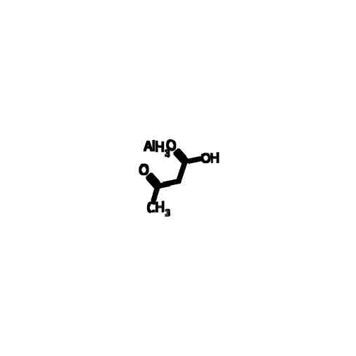 CC(=O)CC(=O)O.[AlH3]